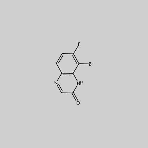 O=c1cnc2ccc(F)c(Br)c2[nH]1